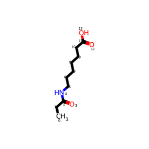 CCC(=O)NCCCCCCC(=O)O